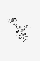 COC(=O)c1nn(COCC[Si](C)(C)C)c2ncnc(NC3CC[C@H](F)[C@H]3O)c12